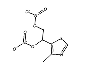 Cc1ncsc1C(CO[N+](=O)[O-])O[N+](=O)[O-]